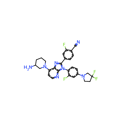 N#Cc1ccc(-c2nc3c(N4CCCC(N)C4)ccnc3n2-c2ccc(N3CCC(F)(F)C3)cc2F)cc1F